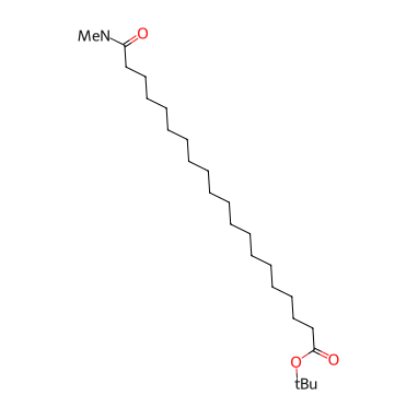 CNC(=O)CCCCCCCCCCCCCCCCCCC(=O)OC(C)(C)C